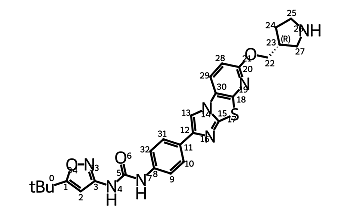 CC(C)(C)c1cc(NC(=O)Nc2ccc(-c3cn4c(n3)sc3nc(OC[C@@H]5CCNC5)ccc34)cc2)no1